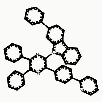 c1ccc(-c2ccc3c4ccccc4n(-c4nc(-c5ccccc5)c(-c5ccccc5)nc4-c4ccc(-c5ccccn5)cc4)c3c2)cc1